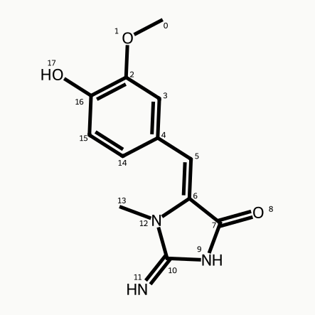 COc1cc(/C=C2/C(=O)NC(=N)N2C)ccc1O